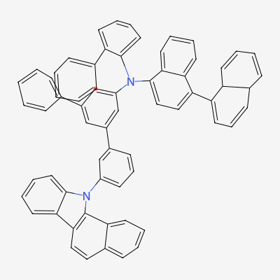 C1=CC2C=CC=C(c3ccc(N(c4cc(-c5ccccc5)cc(-c5cccc(-n6c7ccccc7c7ccc8ccccc8c76)c5)c4)c4ccccc4-c4ccccc4)c4ccccc34)C2C=C1